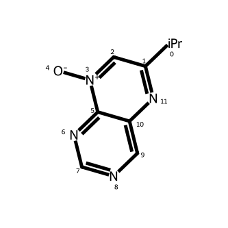 CC(C)c1c[n+]([O-])c2ncncc2n1